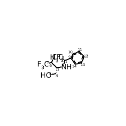 C[C@@H](N[C@H](CO)C(C(F)(F)F)C(F)(F)F)c1ccccc1